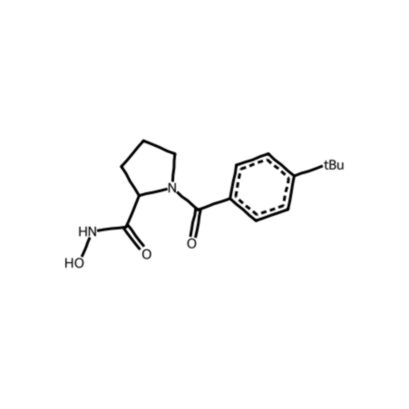 CC(C)(C)c1ccc(C(=O)N2CCCC2C(=O)NO)cc1